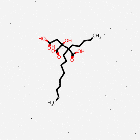 CCCCCCCCCC(CCCCC)(C(=O)O)C(O)(CC(=O)O)C(=O)O